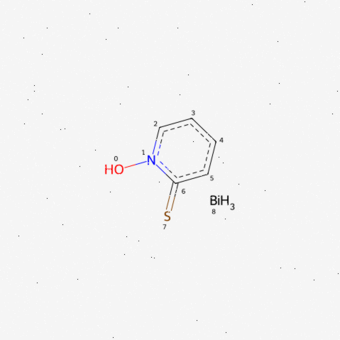 On1ccccc1=S.[BiH3]